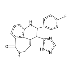 O=C1NCC=C2c3c(cccc31)NC(c1ccc(F)cc1)C2c1ncn[nH]1